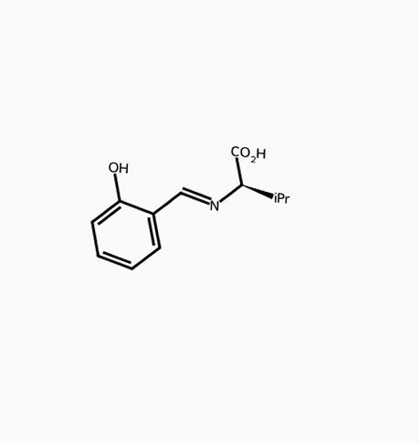 CC(C)[C@@H](N=Cc1ccccc1O)C(=O)O